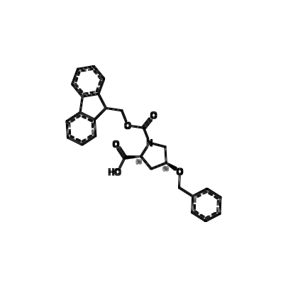 O=C(O)[C@@H]1C[C@H](OCc2ccccc2)CN1C(=O)OCC1c2ccccc2-c2ccccc21